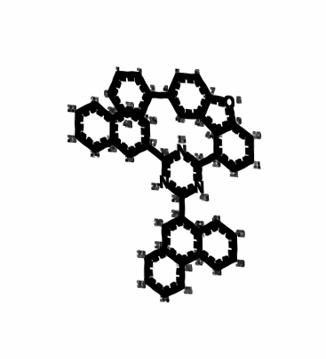 c1ccc(-c2ccc3oc4cccc(-c5nc(-c6ccc7ccccc7c6)nc(-c6cc7ccccc7c7ccccc67)n5)c4c3c2)cc1